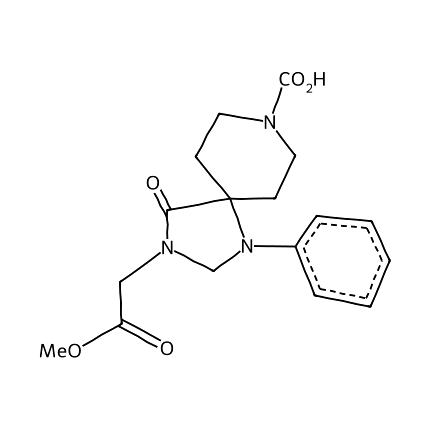 COC(=O)CN1CN(c2ccccc2)C2(CCN(C(=O)O)CC2)C1=O